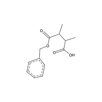 CC(C(=O)O)C(C)C(=O)OCc1ccccc1